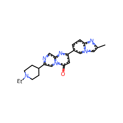 CCN1CCC(c2cn3c(=O)cc(-c4ccc5nc(C)cn5c4)nc3cn2)CC1